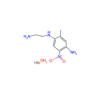 Br.Cc1cc(N)c([N+](=O)[O-])cc1NCCN.O